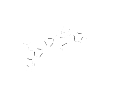 CC(C)Cc1cc(-c2ccc(CC(C[C@@H](O)c3ccc(Cl)nc3)(OC(N)=O)C(C)(C)C)cc2)ccc1C(=O)NS(C)(=O)=O